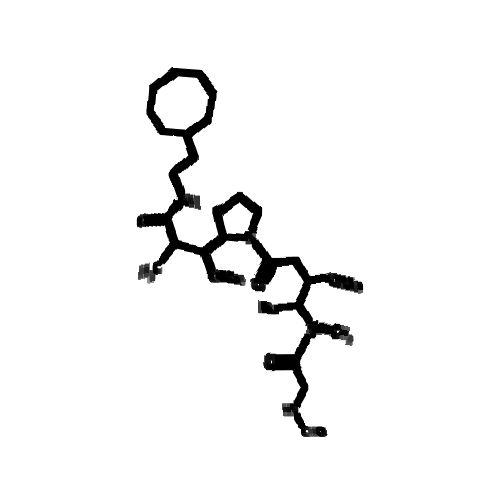 CCC(C)C(C(CC(=O)N1CCCC1C(OC)C(C)C(=O)NCCC1CCCCCCC1)OC)N(C)C(=O)CNC=O